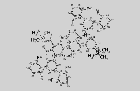 C[Si](C)(C)c1ccc(N(c2cc(-c3c(F)cccc3F)cc(-c3c(F)cccc3F)c2)c2ccc3ccc4c(N(c5ccc([Si](C)(C)C)cc5)c5cc(-c6c(F)cccc6F)cc(-c6c(F)cccc6F)c5)ccc5ccc2c3c54)cc1